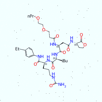 CCCOCCOCCC(=O)N[C@@H](CC(=O)N[C@H]1CCOC1=O)C(=O)N[C@H](C(=O)N[C@@H](CCCNC(N)=O)C(=O)Nc1ccc(CC)cc1)C(C)CC